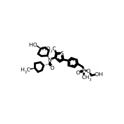 CP(=O)(Cc1ccc(-c2cc(N(C(=O)[C@H]3CC[C@H](C)CC3)[C@H]3CC[C@H](O)CC3)c(C(=O)O)s2)cc1)OCO